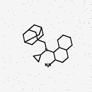 NC1CCC2CCCCC2C1N(CC12CC3CC(CC(C3)C1)C2)C1CC1